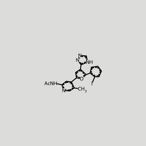 CC(=O)Nc1cc(-c2cc(-c3nnc[nH]3)c(-c3ccccc3I)o2)c(C)cn1